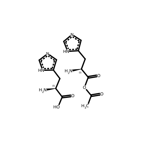 CC(=O)OC(=O)[C@@H](N)Cc1cnc[nH]1.N[C@@H](Cc1cnc[nH]1)C(=O)O